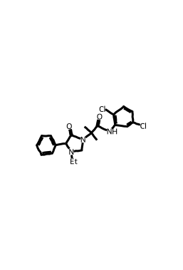 CCN1CN(C(C)(C)C(=O)Nc2cc(Cl)ccc2Cl)C(=O)C1c1ccccc1